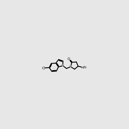 CCCC1CC(=O)N(Cn2ccc3cc(Cl)ccc32)C1